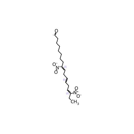 CC/C(=C/C/C=C/C/C=C(/CCCCCCC[C]=O)[N+](=O)[O-])[N+](=O)[O-]